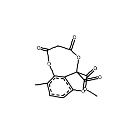 COC(=O)C12OC(=O)CC(=O)Oc3c(C)ccc(c31)OC2=O